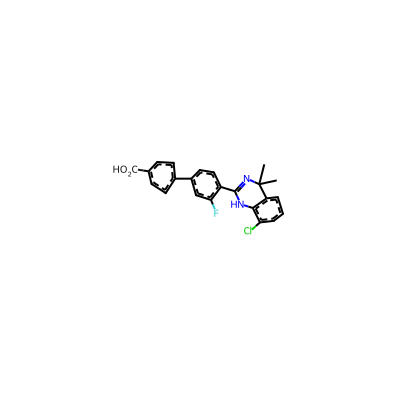 CC1(C)N=C(c2ccc(-c3ccc(C(=O)O)cc3)cc2F)Nc2c(Cl)cccc21